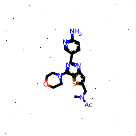 CC(=O)N(C)Cc1cc2nc(-c3ccc(N)nc3)nc(N3CCOCC3)c2s1